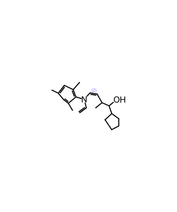 C=CN(/C=C\C(C)C(O)C1CCCC1)c1c(C)cc(C)cc1C